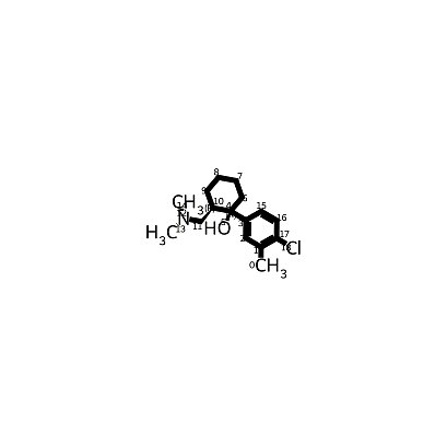 Cc1cc([C@@]2(O)CCCC[C@@H]2CN(C)C)ccc1Cl